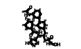 CC(=O)Nc1cccc(-c2ccc(CC(CC(=O)NO)C(NC(=O)c3ccc(F)cc3)c3c[nH]nn3)cc2)c1